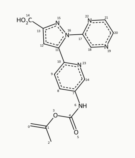 C=C(C)OC(=O)Nc1ccc(-c2cc(C(=O)O)nn2-c2cnccn2)nc1